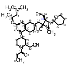 C=CC(=O)N1CCN(c2nc(O[C@H](C)CN(C)C)nc3c2CCN(CC2(C)/C(=C\CC)N(C4CCCCO4)N2C)C3)CC1CC#N